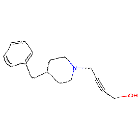 OCC#CCN1CCC(Cc2ccccc2)CC1